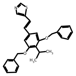 CC(C)c1c(OCc2ccccc2)cc(C=Cc2cncs2)cc1OCc1ccccc1